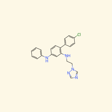 Clc1ccc(-c2ccc(Nc3ccccc3)cc2NCCn2cncn2)cc1